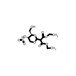 CCOC(=O)C(C(=O)OCC)C1OC[C@H](O[SH](=O)=O)[C@@H](CO)O1